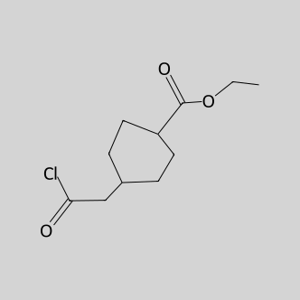 CCOC(=O)C1CCC(CC(=O)Cl)CC1